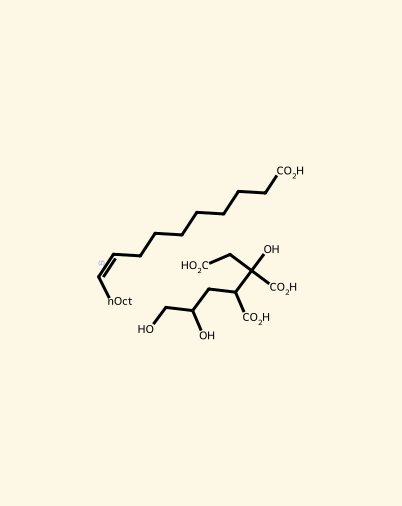 CCCCCCCC/C=C\CCCCCCCC(=O)O.O=C(O)CC(O)(C(=O)O)C(CC(O)CO)C(=O)O